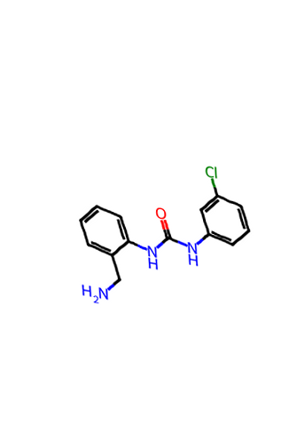 NCc1ccccc1NC(=O)Nc1cccc(Cl)c1